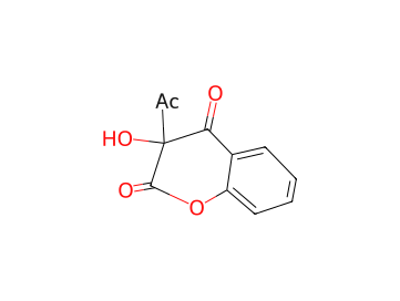 CC(=O)C1(O)C(=O)Oc2ccccc2C1=O